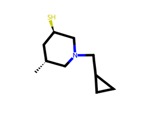 C[C@@H]1C[C@@H](S)CN(CC2CC2)C1